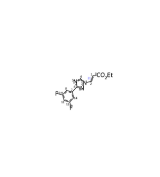 CCOC(=O)/C=C/n1cnc(-c2cc(F)cc(F)c2)n1